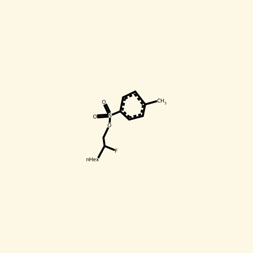 CCCCCCC(F)COS(=O)(=O)c1ccc(C)cc1